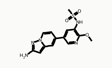 COc1ncc(-c2ccn3nc(N)cc3c2)cc1NS(C)(=O)=O